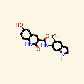 CC(C)(C)c1cc2cc[nH]c2cc1NC(=O)c1cc2cc(O)ccc2[nH]c1=O